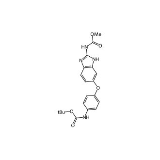 COC(=O)Nc1nc2ccc(Oc3ccc(NC(=O)OC(C)(C)C)cc3)cc2[nH]1